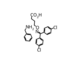 NCc1ccccc1.O=C(O)CCCON=C(c1ccc(Cl)cc1)c1ccc(Cl)cc1